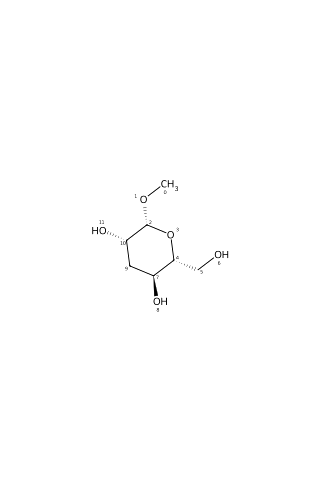 CO[C@@H]1O[C@H](CO)[C@@H](O)C[C@@H]1O